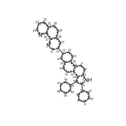 c1ccc(-c2[nH]c3ccc4c5ccc(-c6cnc7c(ccc8cccnc87)c6)cc5ccc4c3c2-c2ccccc2)cc1